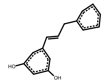 Oc1cc(O)cc(C=CCc2ccccc2)c1